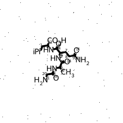 CC(C)CC(NC(=O)C(CCC(N)=O)NC(=O)C(C)NC(=O)CN)C(=O)O